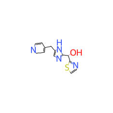 O[C@@H](c1ncc(Cc2ccncc2)[nH]1)c1nccs1